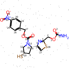 NC(=O)OCc1nc([C@@H]2C[C@H](S)CN2C(=O)OCc2ccc([N+](=O)[O-])cc2)cs1